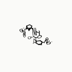 O=C(Nc1cccc([N+](=O)[O-])c1)C(Cl)Nc1cccc([N+](=O)[O-])c1